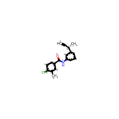 C#C[C@H](C)c1cccc(NC(=O)c2ccc(Cl)c(C)c2)c1